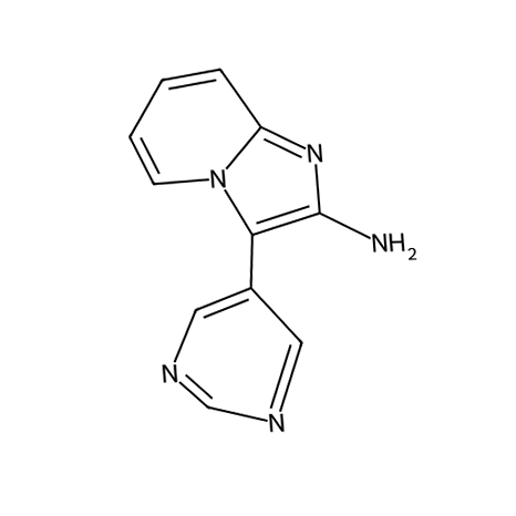 Nc1nc2ccccn2c1-c1cncnc1